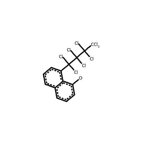 [O]c1cccc2cccc(C(Cl)(Cl)C(Cl)(Cl)C(Cl)(Cl)C(Cl)(Cl)Cl)c12